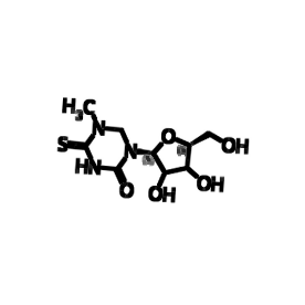 CN1CN([C@H]2O[C@@H](CO)C(O)C2O)C(=O)NC1=S